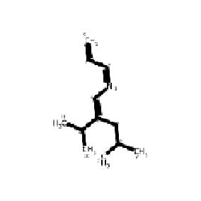 C=C/C=N\C=C(/CC(C)C)C(C)C